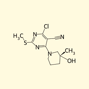 CSc1nc(Cl)c(C#N)c(N2CCC[C@@](C)(O)C2)n1